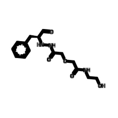 O=C[C@H](Cc1ccccc1)NNC(=O)COCC(=O)NCCO